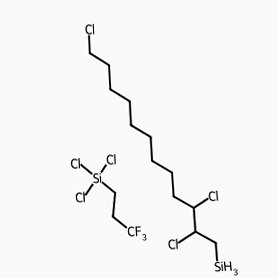 FC(F)(F)CC[Si](Cl)(Cl)Cl.[SiH3]CC(Cl)C(Cl)CCCCCCCCCCl